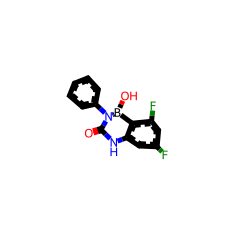 O=C1Nc2cc(F)cc(F)c2B(O)N1c1ccccc1